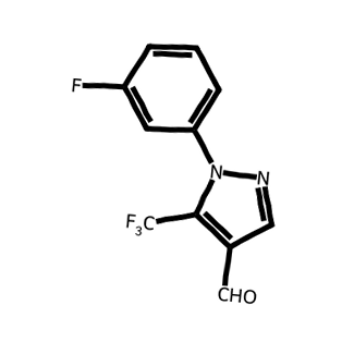 O=Cc1cnn(-c2cccc(F)c2)c1C(F)(F)F